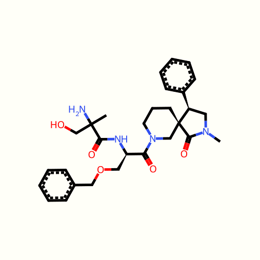 CN1C[C@H](c2ccccc2)[C@]2(CCCN(C(=O)[C@@H](COCc3ccccc3)NC(=O)C(C)(N)CO)C2)C1=O